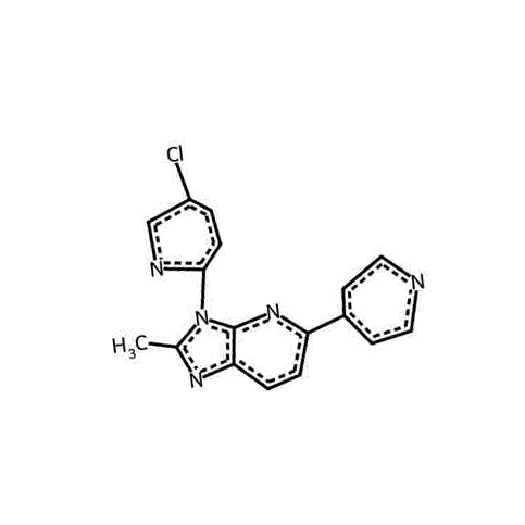 Cc1nc2ccc(-c3ccncc3)nc2n1-c1ccc(Cl)cn1